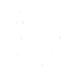 CCOc1cc(C(C#N)(CCCC(N)CC2COc3ccccc3O2)C(CC)CC)c(OCC)c(OC)c1OC